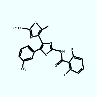 CCOC(=O)c1nc(-c2nc(NC(=O)c3c(F)cccc3F)sc2-c2cccc(C(F)(F)F)c2)c(C)s1